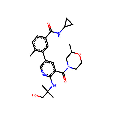 Cc1ccc(C(=O)NC2CC2)cc1-c1cnc(NC(C)(C)CO)c(C(=O)N2CCOC(C)C2)c1